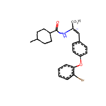 CC1CCC(C(=O)N/C(=C\c2ccc(Oc3ccccc3Br)cc2)C(=O)O)CC1